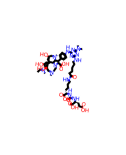 CCN(C)C/C(O)=C\C12C=C(O)CN(C)C(Cc3ccc(Nc4nc(NCCCCCC(=O)NCCCC[C@H](NC(=O)N[C@@H](CCC(=O)O)C(=O)O)C(=O)O)nc(N(C)C)n4)cc3)C1N(CC(=O)O)CCN(C)C/C(O)=C\2